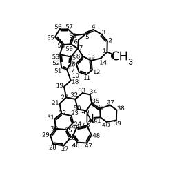 CC1/C=C\C=C2/CC3(c4ccccc4C1)c1cc(CCC(Cc4ccc5ccccc5c4)C4CCC5=C6CCCCC6N(c6ccccc6)C5C4)ccc1-c1cccc2c13